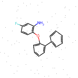 Nc1cc(F)ccc1Oc1ccccc1-c1ccccc1